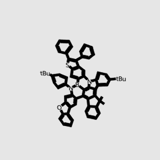 CC(C)(C)c1ccc(N2B3c4cc5sc(-c6ccccc6)c(-c6ccccc6)c5cc4-n4c5ccc(C(C)(C)C)cc5c5c6c(c(c3c54)-c3cc4c(cc32)oc2ccccc24)-c2ccccc2C6(C)C)cc1